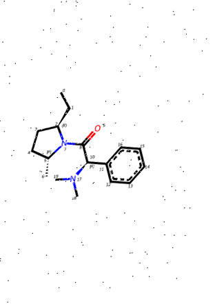 CC[C@@H]1CC[C@@H](C)N1C(=O)[C@@H](c1ccccc1)N(C)C